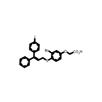 O=C(O)COc1ccc(SCC=C(c2ccccc2)c2ccc(I)cc2)c(Br)c1